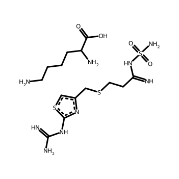 N=C(N)Nc1nc(CSCCC(=N)NS(N)(=O)=O)cs1.NCCCCC(N)C(=O)O